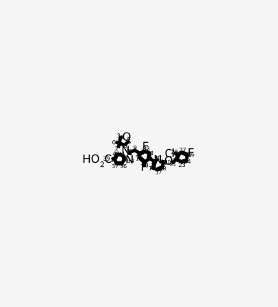 CC1(C)COCC1n1c(Cc2cc(F)c(-c3cccc(OCc4ccc(F)cc4Cl)n3)cc2F)nc2ccc(C(=O)O)cc21